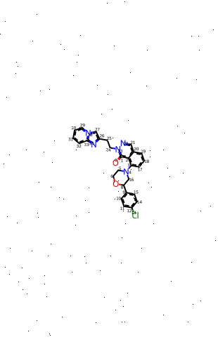 O=c1c2c(N3CCOC(c4ccc(Cl)cc4)C3)cccc2cnn1CCc1cn2ccccc2n1